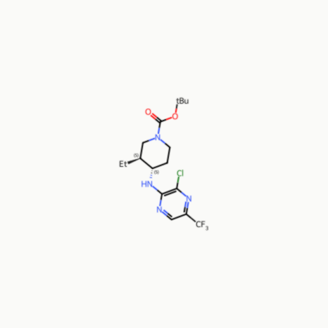 CC[C@H]1CN(C(=O)OC(C)(C)C)CC[C@@H]1Nc1ncc(C(F)(F)F)nc1Cl